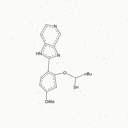 CCCCC(S)Oc1cc(OC)ccc1-c1nc2cnccc2[nH]1